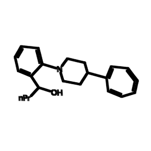 CCCC(O)c1ccccc1N1CCC(C2=CC=C=CC=C2)CC1